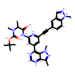 Cc1nn(C)c2c(-c3cc(C#Cc4ccc5c(cnn5C)c4)nc(NC(=O)C(C)N(C)C(=O)OC(C)(C)C)c3)ncnc12